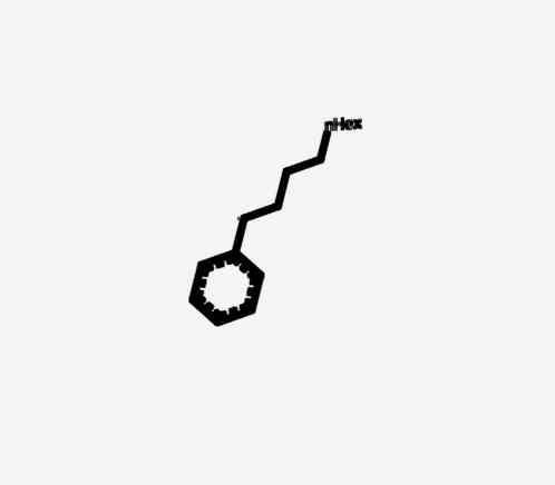 CCCCCCCCC[CH]c1ccccc1